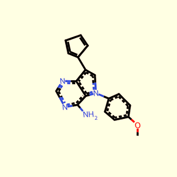 COc1ccc(-n2cc(C3=C=CC=C3)c3ncnc(N)c32)cc1